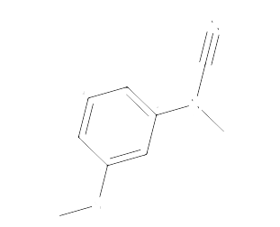 CSc1cccc(N(C)C#N)c1